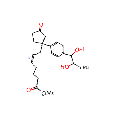 CCCCC(O)C(O)c1ccc(C2(C/C=C\CCCC(=O)OC)CCC(=O)C2)cc1